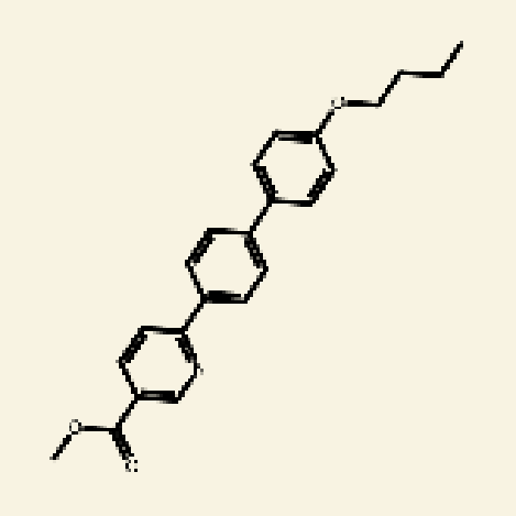 CCCCOc1ccc(-c2ccc(-c3ccc(C(=O)OC)cn3)cc2)cc1